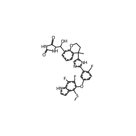 CSc1c(Oc2ccc(F)c(-c3ncc(C4(C)CCOc5c(C(O)C6NC(=O)NC6=O)cccc54)[nH]3)c2)c(F)c(F)c2[nH]ccc12